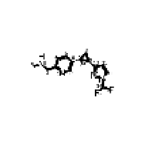 CNCc1ccc([C@@H]2C[C@H]2c2ccn(C(F)F)n2)cn1